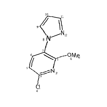 COc1nc(Cl)ccc1-n1cccn1